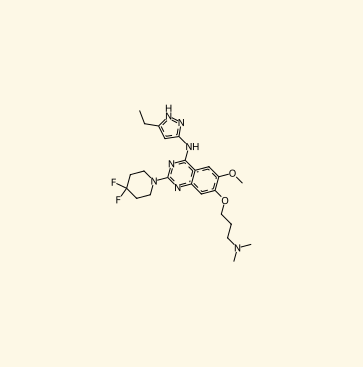 CCc1cc(Nc2nc(N3CCC(F)(F)CC3)nc3cc(OCCCN(C)C)c(OC)cc23)n[nH]1